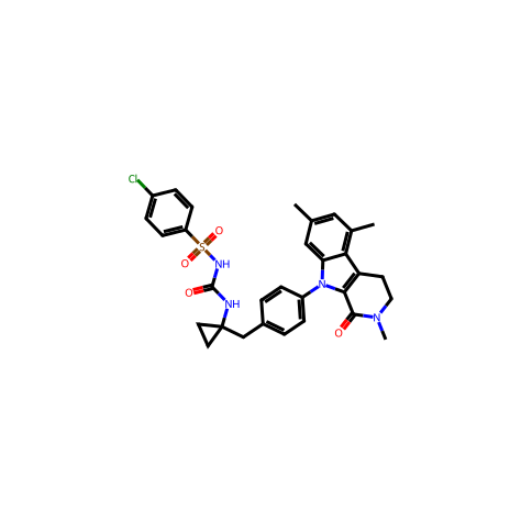 Cc1cc(C)c2c3c(n(-c4ccc(CC5(NC(=O)NS(=O)(=O)c6ccc(Cl)cc6)CC5)cc4)c2c1)C(=O)N(C)CC3